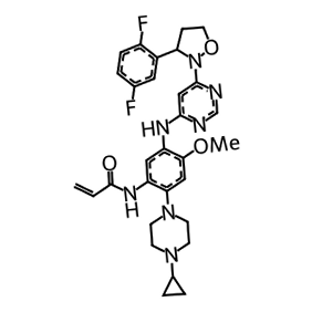 C=CC(=O)Nc1cc(Nc2cc(N3OCCC3c3cc(F)ccc3F)ncn2)c(OC)cc1N1CCN(C2CC2)CC1